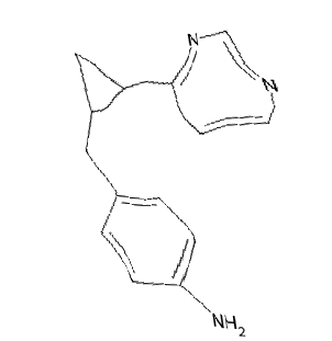 Nc1ccc(CC2CC2c2ccncn2)cc1